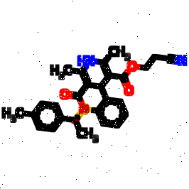 CCOC(=O)C1=C(C)NC(C)=C(C(=O)OCCC#N)C1c1ccccc1SCc1ccc(C)cc1